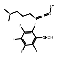 CCN=C=NCCCN(C)C.Cl.Oc1c(F)c(F)c(F)c(F)c1F